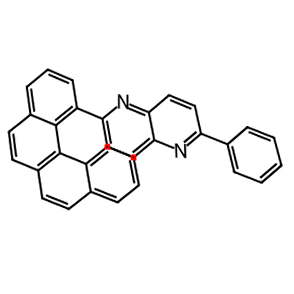 c1ccc(-c2ccc3nc(-c4cccc5ccc6ccc7ccccc7c6c45)ccc3n2)cc1